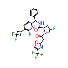 O=C(NC(c1ccccc1)c1ccc(C2CC(F)(F)C2)c(F)n1)C1CC(F)CN1C(=O)Cc1nc(C(F)(F)F)co1